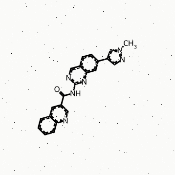 Cn1cc(-c2ccc3cnc(NC(=O)c4cnc5ccccc5c4)nc3c2)cn1